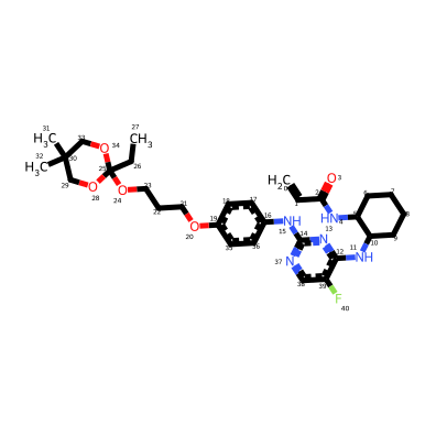 C=CC(=O)NC1CCCCC1Nc1nc(Nc2ccc(OCCCOC3(CC)OCC(C)(C)CO3)cc2)ncc1F